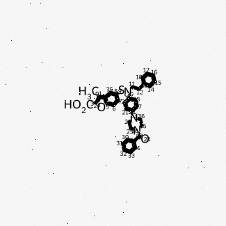 Cc1c(C(=O)O)oc2ccc(SN(CCc3ccccc3)c3ccc(N4CCN(C(=O)c5ccccc5)CC4)cc3)cc12